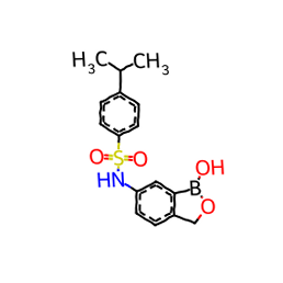 CC(C)c1ccc(S(=O)(=O)Nc2ccc3c(c2)B(O)OC3)cc1